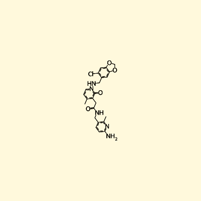 Cc1ccn(NCc2cc3c(cc2Cl)OCO3)c(=O)c1CC(=O)NCc1ccc(N)nc1C